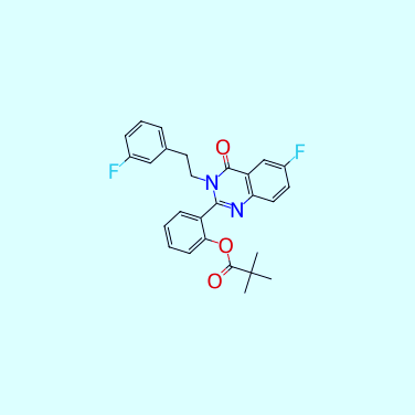 CC(C)(C)C(=O)Oc1ccccc1-c1nc2ccc(F)cc2c(=O)n1CCc1cccc(F)c1